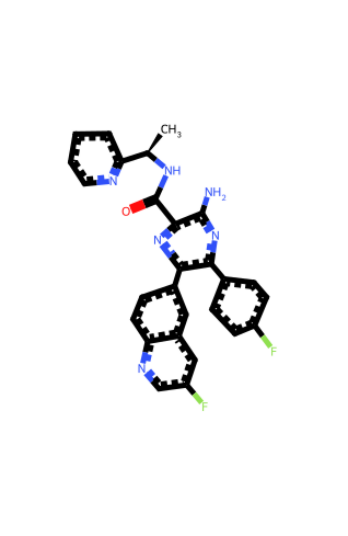 C[C@@H](NC(=O)c1nc(-c2ccc3ncc(F)cc3c2)c(-c2ccc(F)cc2)nc1N)c1ccccn1